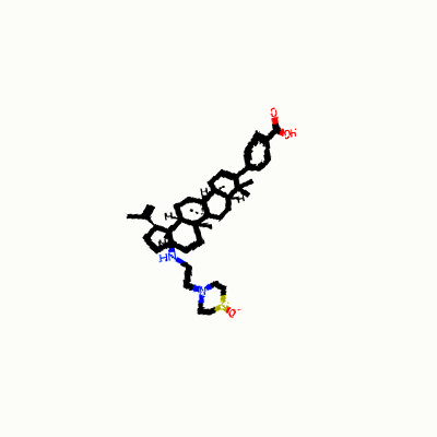 C=C(C)[C@@H]1CCC2(NCCN3CC[S+]([O-])CC3)CC[C@]3(C)[C@H](CC[C@@H]4[C@@]5(C)CC=C(c6ccc(C(=O)O)cc6)C(C)(C)[C@@H]5CC[C@]43C)[C@@H]12